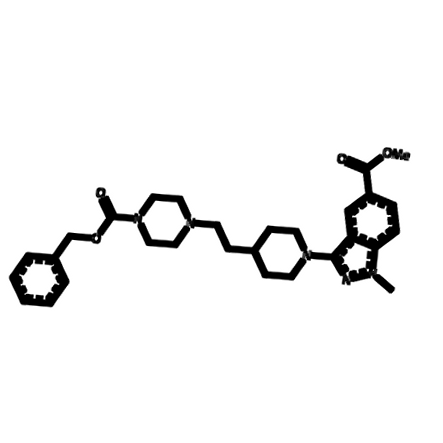 COC(=O)c1ccc2c(c1)c(N1CCC(CCN3CCN(C(=O)OCc4ccccc4)CC3)CC1)nn2C